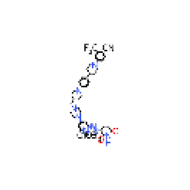 Cn1ccc(N2CCN(CC3CCN(c4ccc(C5CCN(c6ccc(C#N)c(C(F)(F)F)c6)CC5)cc4)CC3)CC2)c/c1=N/N(C=O)C1CCC(=O)NC1=O